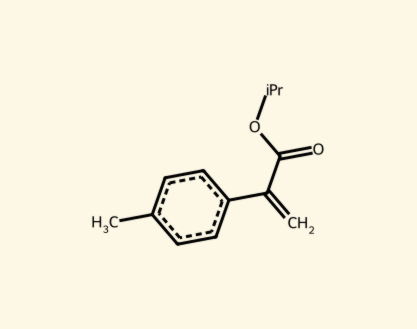 C=C(C(=O)OC(C)C)c1ccc(C)cc1